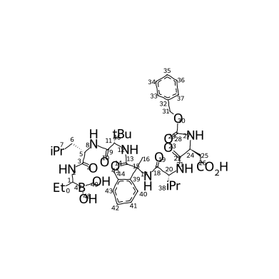 CCC(NC(=O)[C@H](CC(C)C)NC(=O)[C@@H](NC(=O)C(C)(NC(=O)[C@H](NC(=O)[C@H](CC(=O)O)NC(=O)OCc1ccccc1)C(C)C)c1ccccc1C)C(C)(C)C)B(O)O